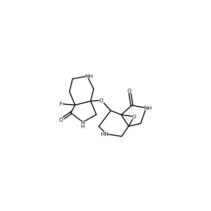 O=C1NCC2(OC3CNCC45CNC(=O)C34O5)CNCCC12F